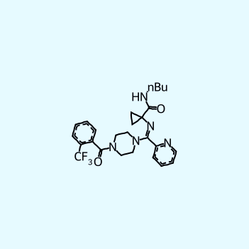 CCCCNC(=O)C1(N=C(c2ccccn2)N2CCN(C(=O)c3ccccc3C(F)(F)F)CC2)CC1